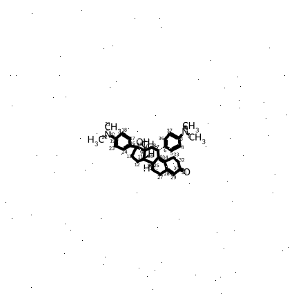 CN(C)c1ccc([C@H]2C[C@@]3(C)[C@@H](CC[C@@]3(O)c3ccc(N(C)C)cc3)[C@@H]3CCC4=CC(=O)CCC4=C32)cc1